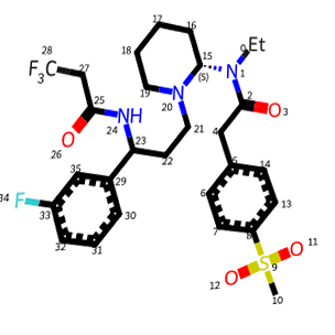 CCN(C(=O)Cc1ccc(S(C)(=O)=O)cc1)[C@H]1CCCCN1CCC(NC(=O)CC(F)(F)F)c1cccc(F)c1